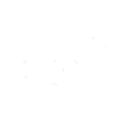 COc1cc2nc(Cl)nc(NC(C)c3cccc(Nc4ccc5c(c4)CNC5=O)c3)c2cc1OC